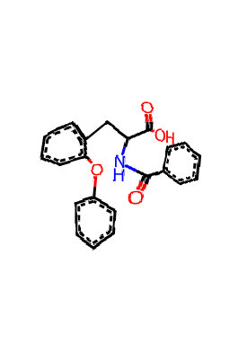 O=C(NC(Cc1ccccc1Oc1ccccc1)C(=O)O)c1ccccc1